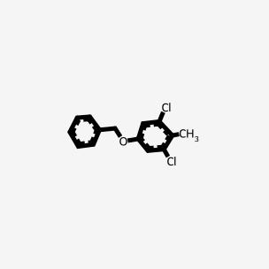 Cc1c(Cl)cc(OCc2ccccc2)cc1Cl